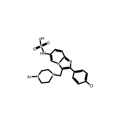 CCCS(=O)(=O)Nc1ccc2nc(-c3ccc(Cl)cc3)c(CN3CCN(C(C)=O)CC3)n2c1